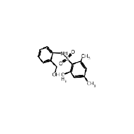 Cc1cc(C)c(S(=O)(=O)Nc2ccccc2CO)c(C)c1